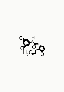 C/C=C\C[C@@H]1C(=O)CC[C@H]1CC(=O)Nc1cc(Cl)cc(Cl)c1